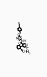 C#Cc1ccccc1-c1cc(C)ncc1C(=O)Nc1nnc(OCc2ccc(C#N)cc2)s1